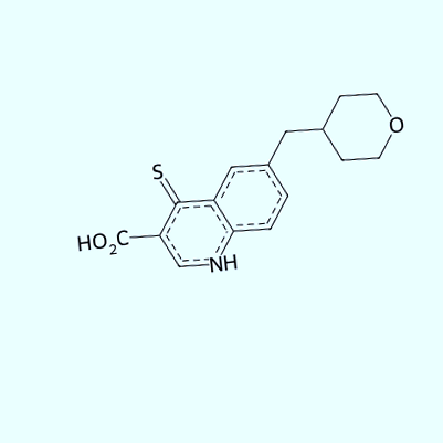 O=C(O)c1c[nH]c2ccc(CC3CCOCC3)cc2c1=S